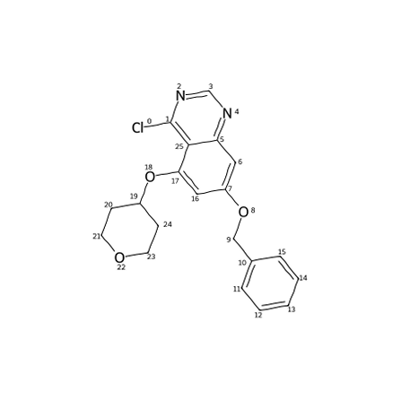 Clc1ncnc2cc(OCc3ccccc3)cc(OC3CCOCC3)c12